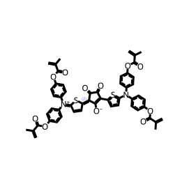 C=C(C)C(=O)Oc1ccc(N(c2ccc(OC(=O)C(=C)C)cc2)c2ccc(C3=C([O-])/C(=C4\C=CC(=[N+](c5ccc(OC(=O)C(=C)C)cc5)c5ccc(OC(=O)C(=C)C)cc5)S4)C(=O)C3=O)s2)cc1